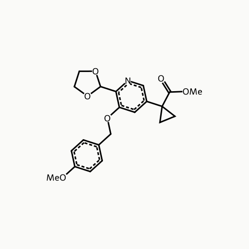 COC(=O)C1(c2cnc(C3OCCO3)c(OCc3ccc(OC)cc3)c2)CC1